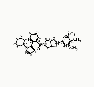 Cc1nc(N2CC3CN(C(=O)c4cccnc4-c4ccnn4C4CCCCO4)CC3C2)nc(C)c1C